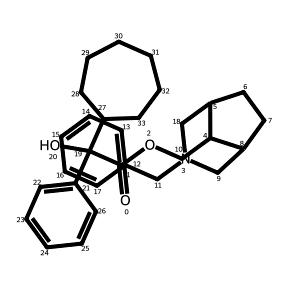 O=C(OCC1C2CCC1CN(Cc1ccccc1)C2)C(O)(c1ccccc1)C1CCCCCC1